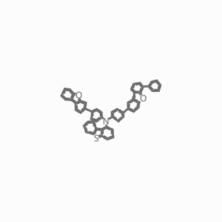 c1ccc(-c2cccc3c2oc2ccc(-c4ccc(N(c5ccc(-c6ccc7c(c6)oc6ccccc67)cc5)c5cccc6sc7ccccc7c56)cc4)cc23)cc1